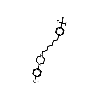 Oc1ccc(N2CCN(CCCCCCc3ccc(C(F)(F)F)cc3)CC2)cc1